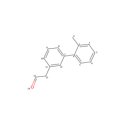 Cc1ccccc1-c1cccc(CC=O)c1